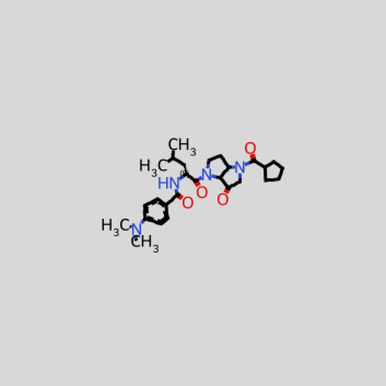 CC(C)C[C@H](NC(=O)c1ccc(N(C)C)cc1)C(=O)N1CCC2C1C(=O)CN2C(=O)C1CCCC1